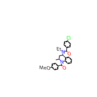 CCN(C(=O)c1ccc(Cl)cc1)C1CC(C)N(C(=O)c2ccc(OC)cc2)c2ccccc21